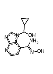 N/C(=N\O)c1ccnc2ncn(C(O)C3CC3)c12